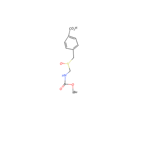 CC(C)(C)OC(=O)NC[S+]([O-])Cc1ccc(C(=O)O)cc1